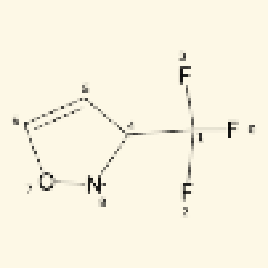 FC(F)(F)C1C=CO[N]1